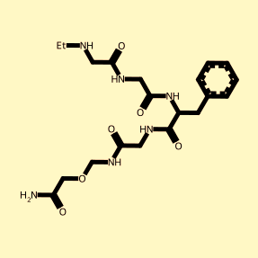 CCNCC(=O)NCC(=O)NC(Cc1ccccc1)C(=O)NCC(=O)NCOCC(N)=O